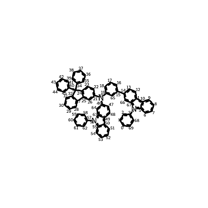 c1ccc(-n2c3ccccc3c3ccc(-c4cccc(N(c5ccc6c(c5)-c5ccccc5C6(c5ccccc5)c5ccccc5)c5ccc6c7ccccc7n(-c7ccccc7)c6c5)c4)cc32)cc1